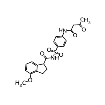 COc1cccc2c1CCC2C(=O)NS(=O)(=O)c1ccc(NC(=O)CC(C)=O)cc1